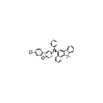 CC1(C)c2ccccc2-c2cc(N(c3ccccc3)c3ccc4oc5cc(Cl)ccc5c4c3)c3ccccc3c21